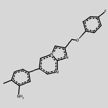 Cc1ccc(-c2cnc3nc(COc4ccc(F)cc4)cn3c2)cc1N